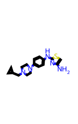 Nc1csc(Nc2ccc(N3CCN(CC4CC4)CC3)cc2)n1